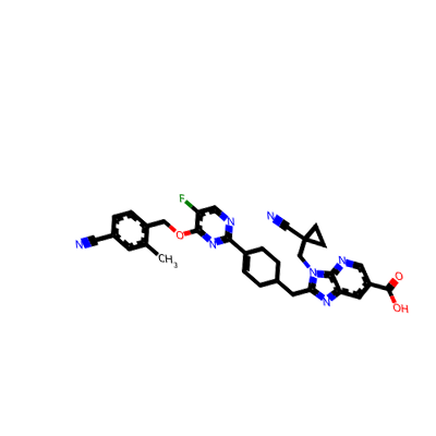 Cc1cc(C#N)ccc1COc1nc(C2=CCC(Cc3nc4cc(C(=O)O)cnc4n3CC3(C#N)CC3)CC2)ncc1F